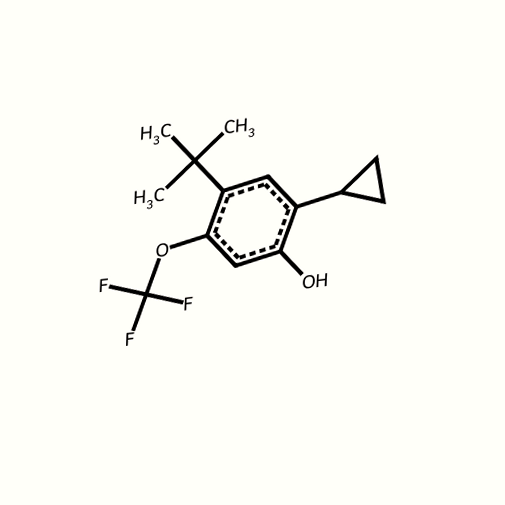 CC(C)(C)c1cc(C2CC2)c(O)cc1OC(F)(F)F